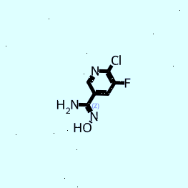 N/C(=N\O)c1cnc(Cl)c(F)c1